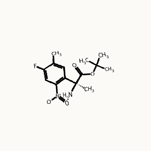 Cc1cc([C@](C)(N)C(=O)OC(C)(C)C)c([N+](=O)[O-])cc1F